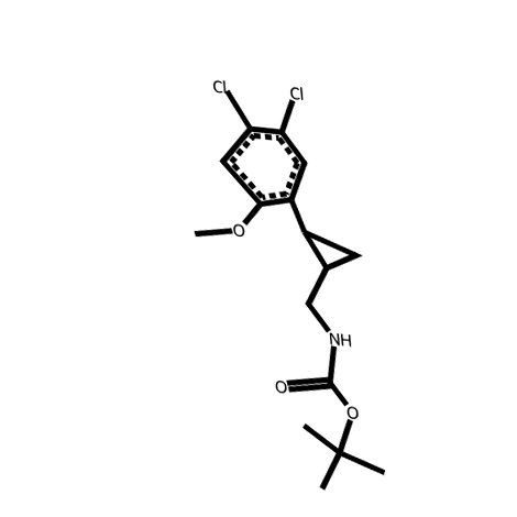 COc1cc(Cl)c(Cl)cc1C1CC1CNC(=O)OC(C)(C)C